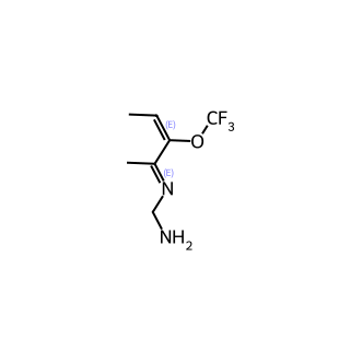 C/C=C(OC(F)(F)F)\C(C)=N\CN